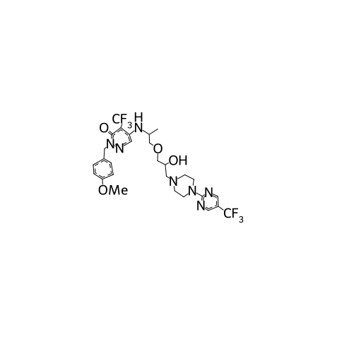 COc1ccc(Cn2ncc(NC(C)COCC(O)CN3CCN(c4ncc(C(F)(F)F)cn4)CC3)c(C(F)(F)F)c2=O)cc1